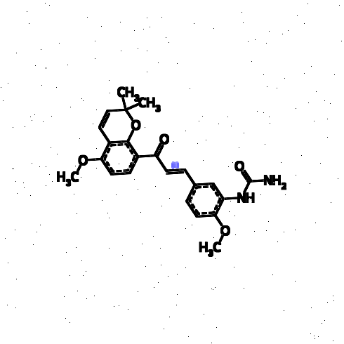 COc1ccc(/C=C/C(=O)c2ccc(OC)c3c2OC(C)(C)C=C3)cc1NC(N)=O